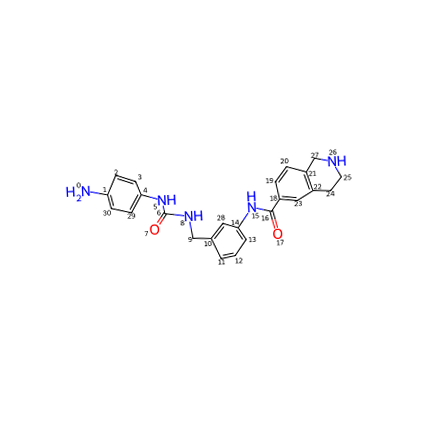 Nc1ccc(NC(=O)NCc2cccc(NC(=O)c3ccc4c(c3)CCNC4)c2)cc1